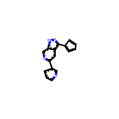 C1=CC=CC=1c1n[nH]c2cnc(-c3cccnc3)cc12